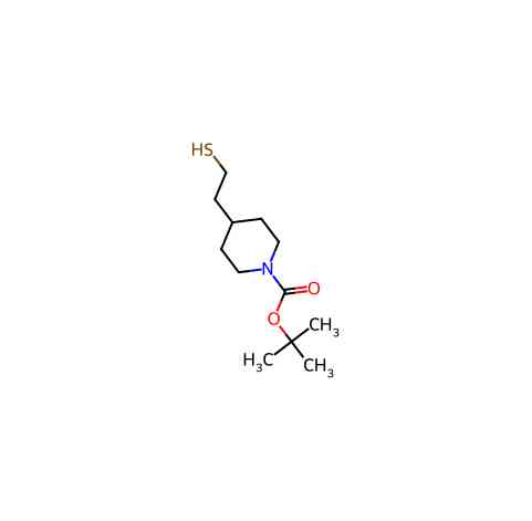 CC(C)(C)OC(=O)N1CCC(CCS)CC1